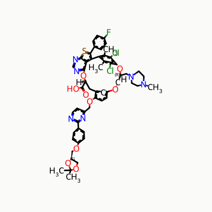 Cc1c(Cl)c2c(Cl)c(C)c1-c1c(-c3ccc(F)cc3)sc3ncnc(c13)O[C@@H](C(=O)O)Cc1cc(ccc1OCc1ccnc(-c3ccc(OC[C@H]4COC(C)(C)O4)cc3)n1)OC[C@@H](CN1CCN(C)CC1)O2